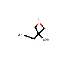 CNCC1(NC)COC1